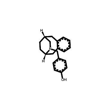 Oc1ccc(CN2C[C@@H]3CC[C@H]2Cc2ccccc2C3)cc1